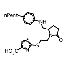 CCCCCc1ccc(NC[C@H]2CCC(=O)N2CCSc2nc(C(=O)O)cs2)cc1